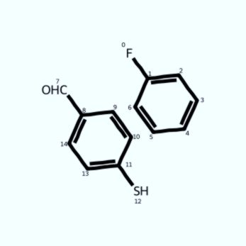 Fc1ccccc1.O=Cc1ccc(S)cc1